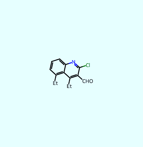 CCc1cccc2nc(Cl)c(C=O)c(CC)c12